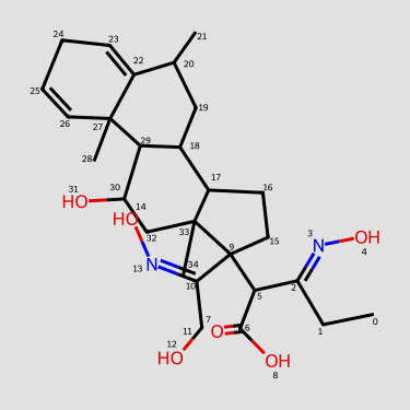 CCC(=NO)C(C(=O)O)C1(/C(CO)=N\O)CCC2C3CC(C)C4=CCC=CC4(C)C3C(O)CC21C